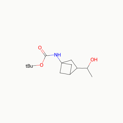 CC(O)C1CC2(NC(=O)OC(C)(C)C)CC1C2